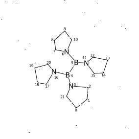 C1CCN(B(B(N2CCCC2)N2CCCC2)N2CCCC2)C1